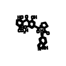 O=C(O)c1ccc(O)c(C(=O)c2c(O)cc(C(=O)N3CCCC3C(=O)Nc3ccc4[nH]ncc4c3)cc2O)c1